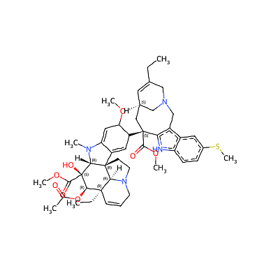 CCC1=C[C@H]2CN(C1)Cc1c([nH]c3ccc(SC)cc13)[C@@](C(=O)OC)(C1C=C3C(=CC1OC)N(C)[C@H]1[C@@](O)(C(=O)OC)[C@H](OC(C)=O)[C@]4(CC)C=CCN5CC[C@]31[C@@H]54)C2